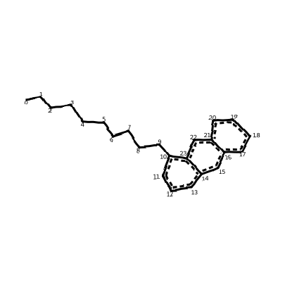 CCCCCCCCCCc1c[c]cc2cc3ccccc3cc12